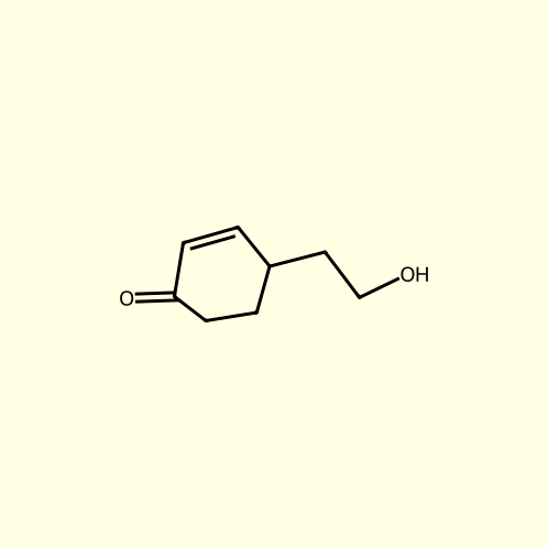 O=C1C=CC(CCO)CC1